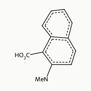 CNc1ccc2ccccc2c1C(=O)O